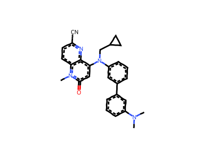 CN(C)c1cccc(-c2cccc(N(CC3CC3)c3cc(=O)n(C)c4ccc(C#N)nc34)c2)c1